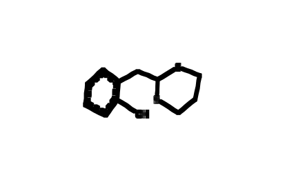 Oc1ccccc1CC1SCCCS1